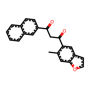 Cc1cc2occc2cc1C(=O)CC(=O)c1ccc2ccccc2c1